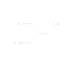 NCP(CN)CS